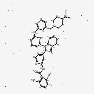 CN(C)C1CCN(Cc2cccc(Nc3nccc(-c4c(-c5cccc(NC(=O)c6c(F)cccc6F)c5)nc5ccccn45)n3)c2)CC1